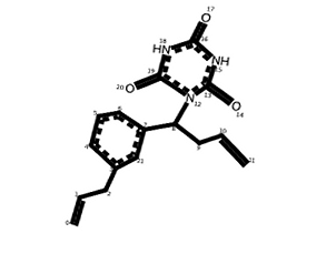 C=CCc1cccc(C(CC=C)n2c(=O)[nH]c(=O)[nH]c2=O)c1